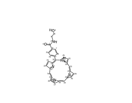 O=C(NCCO)c1ccc(-c2c3nc(cc4ccc(cc5nc(cc6ccc2[nH]6)C=C5)[nH]4)C=C3)cc1